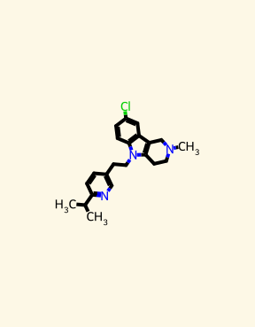 CC(C)c1ccc(CCn2c3c(c4cc(Cl)ccc42)CN(C)CC3)cn1